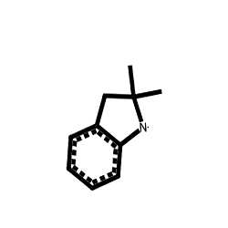 CC1(C)Cc2ccccc2[N]1